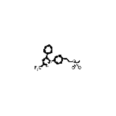 CS(=O)(=O)OCCc1ccc(-n2nc(C(F)(F)F)cc2-c2ccccc2)cc1